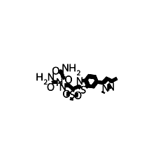 Cc1cc(-c2ccc3nc(C(C4=NN(C(N)=O)C(C(N)=O)O4)S(C)(=O)=O)sc3c2)n(C)n1